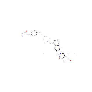 CC[C@@]1(O)C(=O)OCc2c1cc1n(c2=O)Cc2cc3c(CN4CCC([N+](C)(C)Cc5ccc(NC(=O)[C@H](C)N)cc5)CC4)c(O)ccc3nc2-1.[Br-]